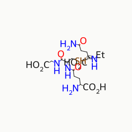 CCN[C@@H](CCC(N)=O)C(=O)O.NC(CCC(=O)NC(CS)C(=O)NCC(=O)O)C(=O)O